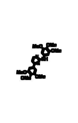 COc1cc(Nc2nccc(-c3cc(OC)c(OC)c(OC)c3)n2)cc(OC)c1OC